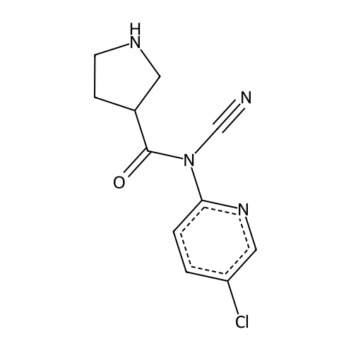 N#CN(C(=O)C1CCNC1)c1ccc(Cl)cn1